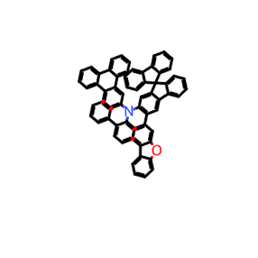 c1ccc(-c2ccccc2N(c2ccc3c4ccccc4c4ccccc4c3c2)c2cc3c(cc2-c2ccc4c(c2)oc2ccccc24)-c2ccccc2C32c3ccccc3-c3ccccc32)cc1